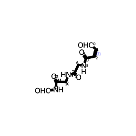 O=C/C=C\C(=O)NCC(=O)NCC(=O)NC=O